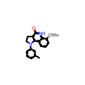 COc1cccc2c3c(c(=O)[nH]c12)CCN3c1cccc(C)c1